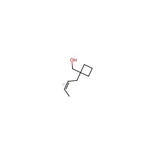 C/C=C\CC1(CO)CCC1